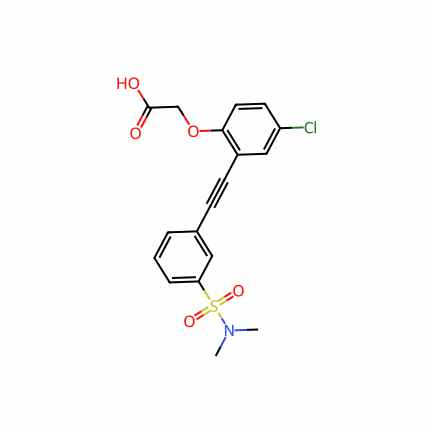 CN(C)S(=O)(=O)c1cccc(C#Cc2cc(Cl)ccc2OCC(=O)O)c1